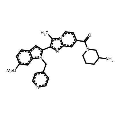 COc1ccc2cc(-c3nc4cc(C(=O)N5CCCC(N)C5)ccn4c3C)n(Cc3ccncc3)c2c1